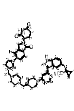 CC1(Oc2ccc3[nH]nc(-c4cc(N5CCC(CN6CCN(C[C@H]7CCN(c8ccc9c(c8F)CN(C8CCC(=O)NC8=O)C9=O)C7)CC6)CC5)ncn4)c3c2)CC1